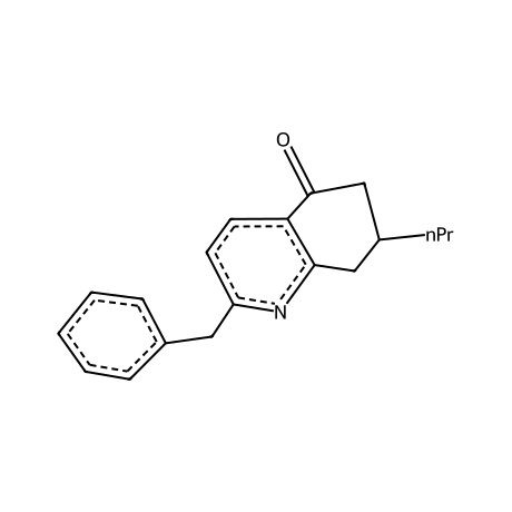 CCCC1CC(=O)c2ccc(Cc3ccccc3)nc2C1